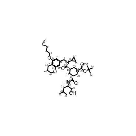 COCCCOc1cc(CN(C(=O)[C@@H]2C[C@H](C(=O)NC(CO)CC(C)C)CN(C(=O)OC(C)(C)C)C2)C2CC2)cc2c1CCCO2